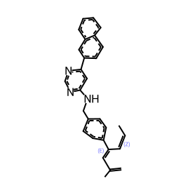 C=C(C)/C=C(\C=C/C)c1ccc(CNc2cc(-c3ccc4ccccc4c3)ncn2)cc1